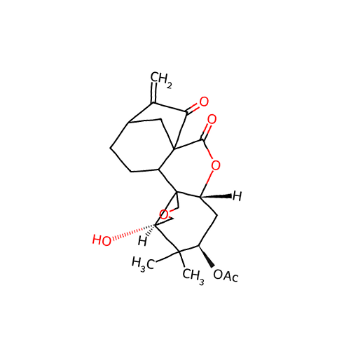 C=C1C(=O)C23CC1CCC2C12CO[C@H](O)[C@H]1C(C)(C)[C@H](OC(C)=O)C[C@H]2OC3=O